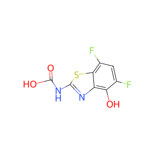 O=C(O)Nc1nc2c(O)c(F)cc(F)c2s1